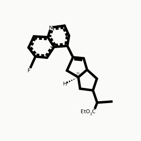 CCOC(=O)C(C)C1CC2C=C(c3ccnc4ccc(F)cc34)C[C@@H]2C1